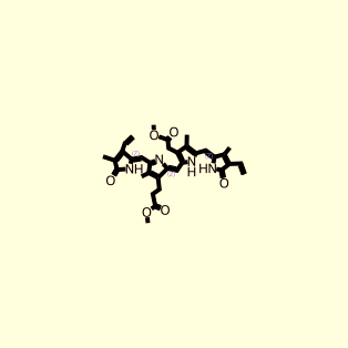 C=CC1=C(C)/C(=C/c2[nH]c(/C=C3N=C(/C=C4\NC(=O)C(C)=C4C=C)C(C)=C\3CCC(=O)OC)c(CC(=O)OC)c2C)NC1=O